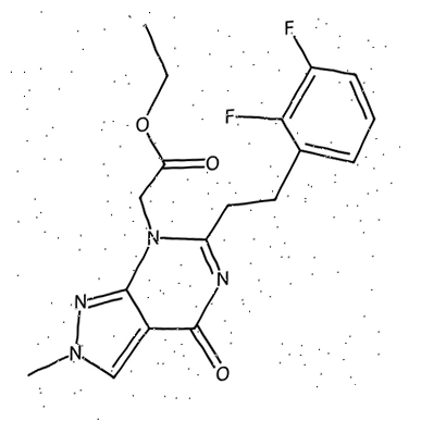 CCOC(=O)Cn1c(CCc2cccc(F)c2F)nc(=O)c2cn(C)nc21